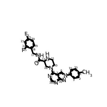 Cc1ccc(-n2cc3c(N4CCNC(C(=O)NCc5ccc(F)cc5F)C4)ncnc3n2)cc1